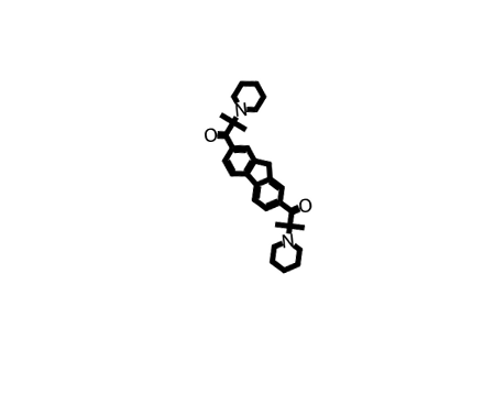 CC(C)(C(=O)c1ccc2c(c1)Cc1cc(C(=O)C(C)(C)N3CCCCC3)ccc1-2)N1CCCCC1